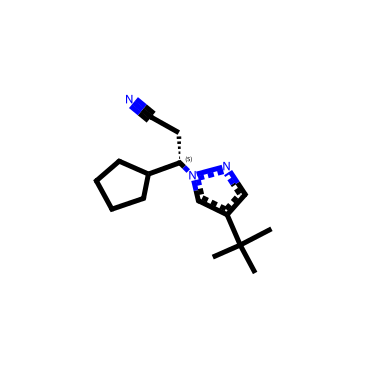 CC(C)(C)c1cnn([C@@H](CC#N)C2CCCC2)c1